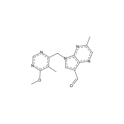 COc1ncnc(Cn2cc(C=O)c3ncc(C)nc32)c1C